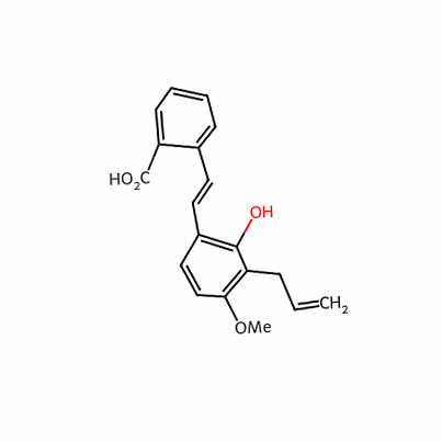 C=CCc1c(OC)ccc(C=Cc2ccccc2C(=O)O)c1O